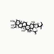 C/C=C(/C)C(=O)O[C@H]1[C@H](OC(C)=O)[C@@]2(CO)C(C[C@]1(O)S)C1=CCC3[C@@]4(C)CC[C@H](O)[C@](S)(CO)C4CC[C@@]3(C)[C@]1(C)[C@@H](O)[C@H]2O